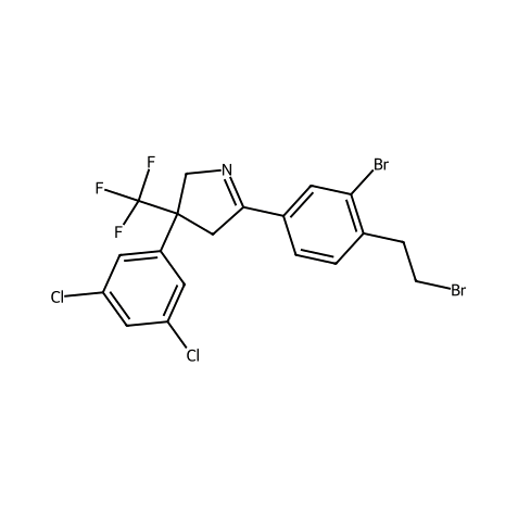 FC(F)(F)C1(c2cc(Cl)cc(Cl)c2)CN=C(c2ccc(CCBr)c(Br)c2)C1